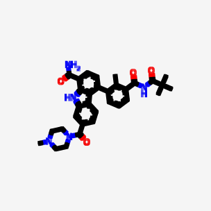 Cc1c(C(=O)NC(=O)C(C)(C)C)cccc1-c1ccc(C(N)=O)c2[nH]c3cc(C(=O)N4CCN(C)CC4)ccc3c12